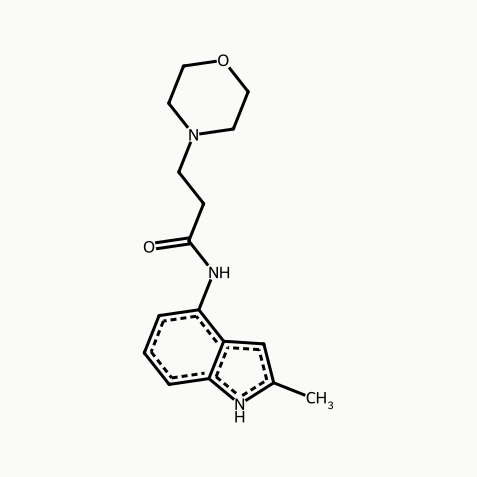 Cc1cc2c(NC(=O)CCN3CCOCC3)cccc2[nH]1